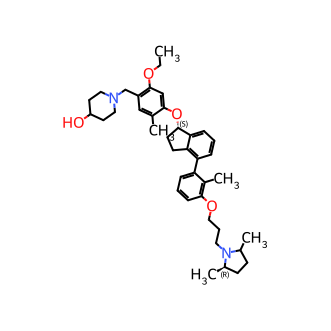 CCOc1cc(O[C@H]2CCc3c(-c4cccc(OCCCN5C(C)CC[C@H]5C)c4C)cccc32)c(C)cc1CN1CCC(O)CC1